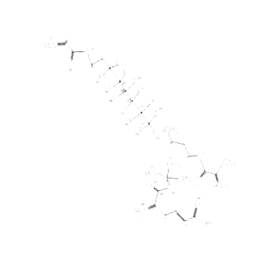 C=C(C)C(=O)OCCCC.C=C(CC=CC(=O)O)C(=O)OC(C)(C)C.C=CC(=O)OCCC(F)(F)C(F)(F)C(F)(F)C(F)(F)C(F)(F)C(F)(F)F